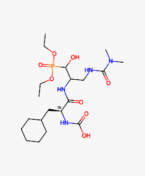 CCOP(=O)(OCC)C(O)C(CNC(=O)N(C)C)NC(=O)[C@H](CC1CCCCC1)NC(=O)O